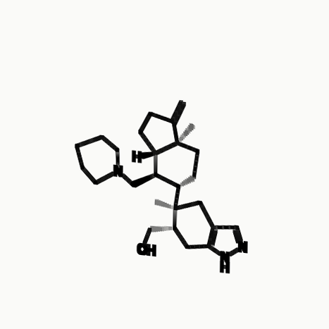 C=C1CC[C@H]2[C@H](CN3CCCCC3)[C@@H]([C@@]3(C)Cc4cn[nH]c4C[C@@H]3CO)CC[C@]12C